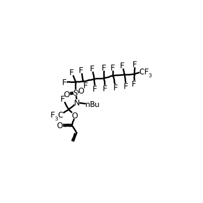 C=CC(=O)OC(F)(N(CCCC)S(=O)(=O)C(F)(F)C(F)(F)C(F)(F)C(F)(F)C(F)(F)C(F)(F)C(F)(F)C(F)(F)F)C(F)(F)F